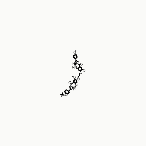 COc1ccc(C2=CN3C(=O)c4cc(OC)c(OCCCOc5cc6c(cc5OC)C(=O)N5C=C(c7ccc(NC(C)(C)C)cc7)C[C@H]5C=N6)cc4NC[C@@H]3C2)cc1